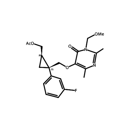 COCn1c(C)nc(C)c(OC[C@@]2(c3cccc(F)c3)C[C@H]2COC(C)=O)c1=O